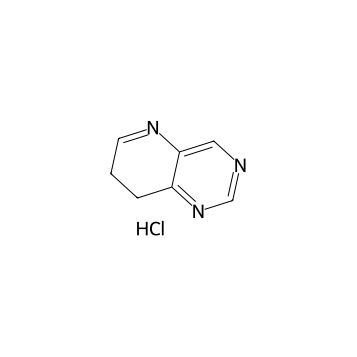 C1=Nc2cncnc2CC1.Cl